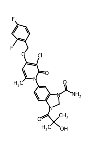 Cc1cc(OCc2ccc(F)cc2F)c(Cl)c(=O)n1-c1ccc2c(c1)N(C(N)=O)CN2C(=O)C(C)(C)O